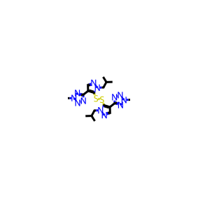 CC(C)Cn1ncc(-c2nnn(C)n2)c1SSc1c(-c2nnn(C)n2)cnn1CC(C)C